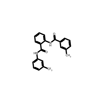 Cc1cccc(C(=O)Nc2ccccc2C(=O)Nc2cccc(C(F)(F)F)c2)c1